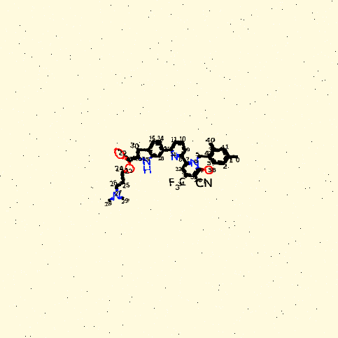 Cc1ccc(Cn2c(-c3cccc(-c4ccc5c(c4)NC(C(=O)OCCCN(C)C)C5)n3)cc(C(F)(F)F)c(C#N)c2=O)c(C)c1